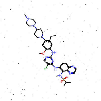 CCc1cc(Nc2ncc(Cl)c(Nc3ccc4nccnc4c3N(C)S(=O)(=O)C(C)C)n2)c(OC)cc1N1CCC(N2CCN(C)CC2)CC1